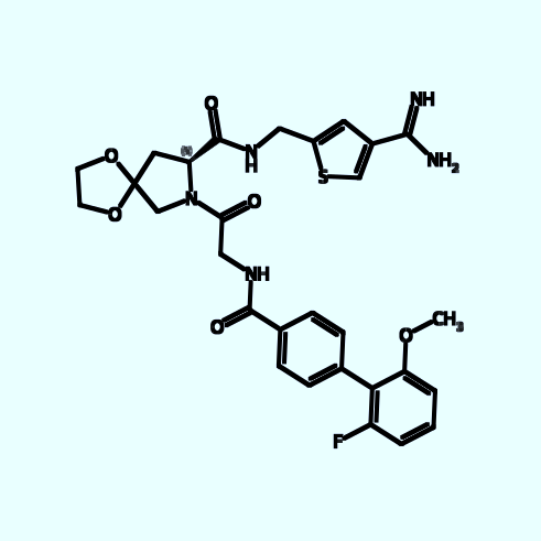 COc1cccc(F)c1-c1ccc(C(=O)NCC(=O)N2CC3(C[C@H]2C(=O)NCc2cc(C(=N)N)cs2)OCCO3)cc1